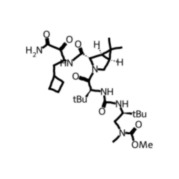 COC(=O)N(C)C[C@@H](NC(=O)N[C@H](C(=O)N1C[C@H]2[C@@H]([C@H]1C(=O)NC(CC1CCC1)C(=O)C(N)=O)C2(C)C)C(C)(C)C)C(C)(C)C